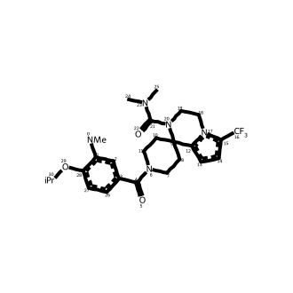 CNc1cc(C(=O)N2CCC3(CC2)c2ccc(C(F)(F)F)n2CCN3C(=O)N(C)C)ccc1OC(C)C